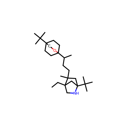 CCC12CNC(C(C)(C)C)(CC1(C)CCC(C)C13CCC(C(C)(C)C)(CC1)CO3)C2